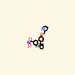 CON(C)C(=O)c1ccc([C@]2(c3ccc(OCc4ccccn4)cc3)CC3CC[C@@H]2C3)cc1